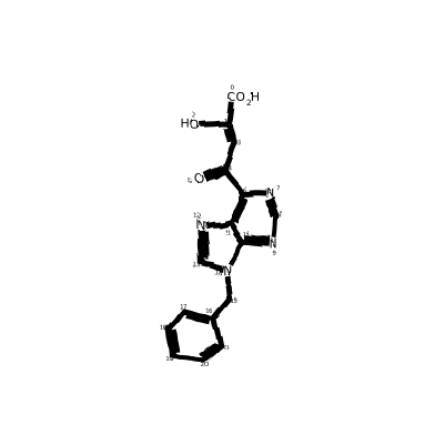 O=C(O)/C(O)=C/C(=O)c1ncnc2c1ncn2Cc1ccccc1